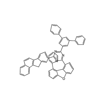 c1ccc(-c2cc(-c3ccccc3)cc(-c3nc(-c4ccc5c(c4)Cc4c-5ccc5ccccc45)nc(-c4cccc5oc6cccc(-c7ccccc7)c6c45)n3)c2)cc1